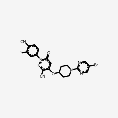 [C-]#[N+]c1ccc(-n2nc(C#N)c(OC3CCN(c4ncc(Br)cn4)CC3)cc2=O)cc1F